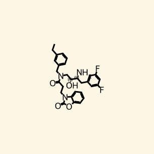 CCc1cccc(CN(C[C@@H](O)[C@@H](N)Cc2cc(F)cc(F)c2)C(=O)CCn2c(=O)oc3ccccc32)c1